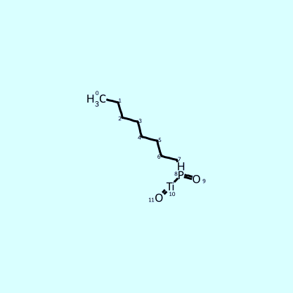 CCCCCCCC[PH](=O)[Ti]=[O]